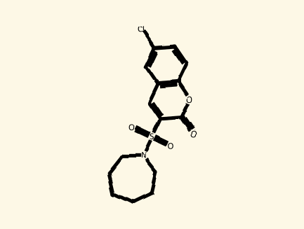 O=c1oc2ccc(Cl)cc2cc1S(=O)(=O)N1CCCCCC1